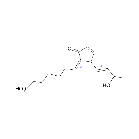 CC(O)/C=C/C1C=CC(=O)/C1=C\CCCCCC(=O)O